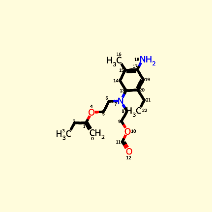 C=C(CC)OCCN(CCOC=O)C1CC(C)=C(N)C=C1CC